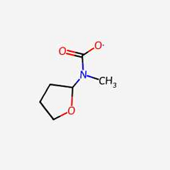 CN(C([O])=O)C1CCCO1